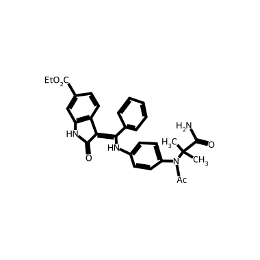 CCOC(=O)c1ccc2c(c1)NC(=O)/C2=C(\Nc1ccc(N(C(C)=O)C(C)(C)C(N)=O)cc1)c1ccccc1